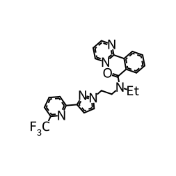 CCN(CCn1ccc(-c2cccc(C(F)(F)F)n2)n1)C(=O)c1ccccc1-c1ncccn1